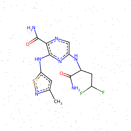 Cc1cc(Nc2nc(NC(CC(F)F)C(N)=O)cnc2C(N)=O)sn1